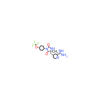 CC1(Cc2ccnc(C(=N)N)c2)NC(=O)N(c2ccc(OC(F)(F)F)cc2)C1=O